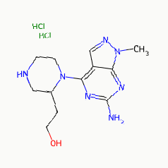 Cl.Cl.Cn1ncc2c(N3CCNCC3CCO)nc(N)nc21